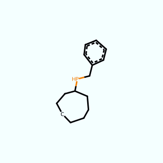 c1ccc(CPC2CCCCCCC2)cc1